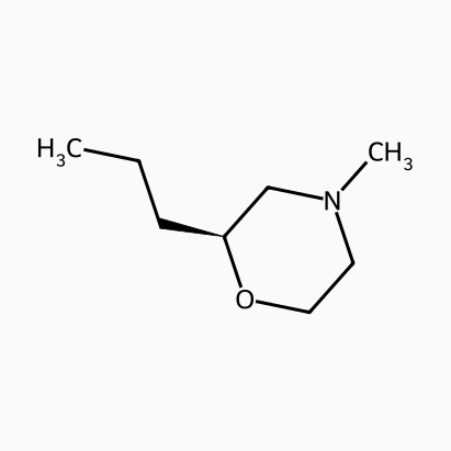 CCC[C@H]1CN(C)CCO1